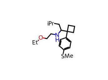 CCOCCNC(CC(C)C)C1(c2ccc(SC)cc2)CCC1